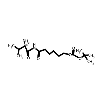 CC(C)[C@H](N)C(=O)NC(=O)CCCCCCC(=O)OC(C)(C)C